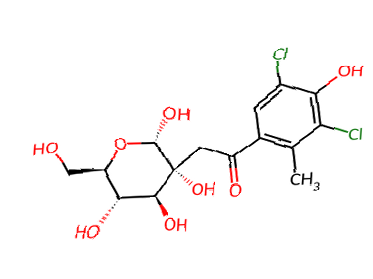 Cc1c(C(=O)C[C@]2(O)[C@@H](O)O[C@H](CO)[C@@H](O)[C@@H]2O)cc(Cl)c(O)c1Cl